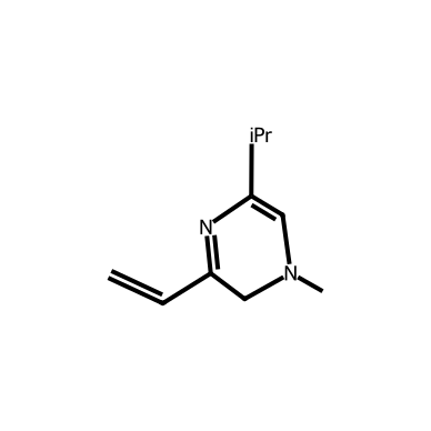 C=CC1=NC(C(C)C)=CN(C)C1